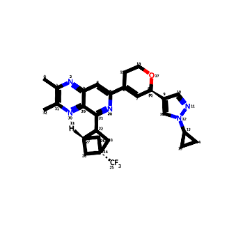 Cc1nc2cc(C3=C[C@H](c4cnn(C5CC5)c4)OCC3)nc(C3C[C@]4(C(F)(F)F)C[C@@H]3C4)c2nc1C